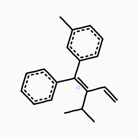 C=C/C(=C(/c1ccccc1)c1cccc(C)c1)C(C)C